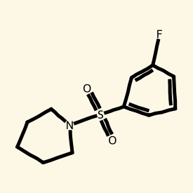 O=S(=O)(c1cccc(F)c1)N1CCCCC1